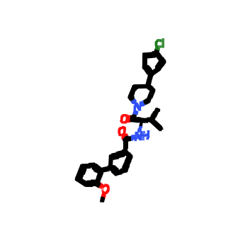 COc1ccccc1-c1cccc(C(=O)N[C@@H](C(=O)N2CCC(c3ccc(Cl)cc3)CC2)C(C)C)c1